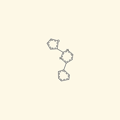 c1ccc(-c2ccnc(-c3ccco3)n2)cc1